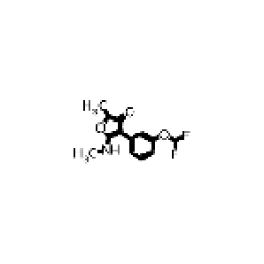 CNC1=C(c2cccc(OC(F)F)c2)C(=O)C(C)O1